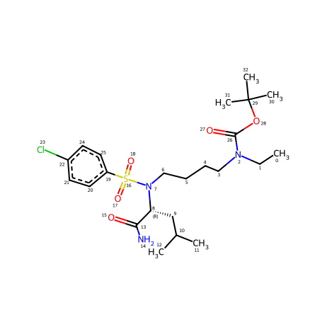 CCN(CCCCN([C@H](CC(C)C)C(N)=O)S(=O)(=O)c1ccc(Cl)cc1)C(=O)OC(C)(C)C